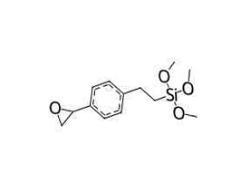 CO[Si](CCc1ccc(C2CO2)cc1)(OC)OC